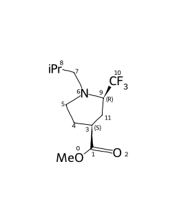 COC(=O)[C@H]1CCN(CC(C)C)[C@@H](C(F)(F)F)C1